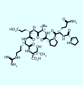 CC[C@H](C)[C@H](NC(=O)[C@@H]1CCCN1C(=O)[C@H](CCC(N)=O)NC(=O)[C@@H]1CCCN1)C(=O)N[C@@H](CCC(=O)O)C(=O)N[C@@H](CCCNC(=N)N)C(=O)N[C@H](C(=O)O)[C@@H](C)O